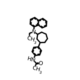 CCN(c1cccc2ccccc12)C1CCCCC(c2ccc(NC(C)=O)cc2)C1